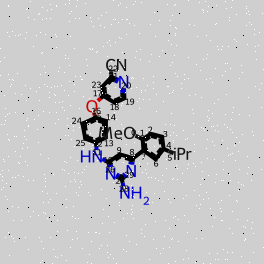 COc1ccc(C(C)C)cc1-c1cc(Nc2ccc(Oc3ccnc(C#N)c3)cc2)nc(N)n1